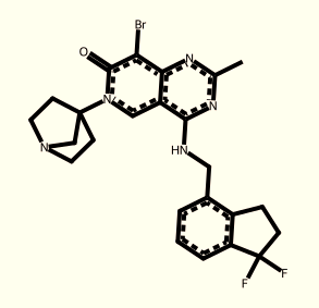 Cc1nc(NCc2cccc3c2CCC3(F)F)c2cn(C34CCN(CC3)C4)c(=O)c(Br)c2n1